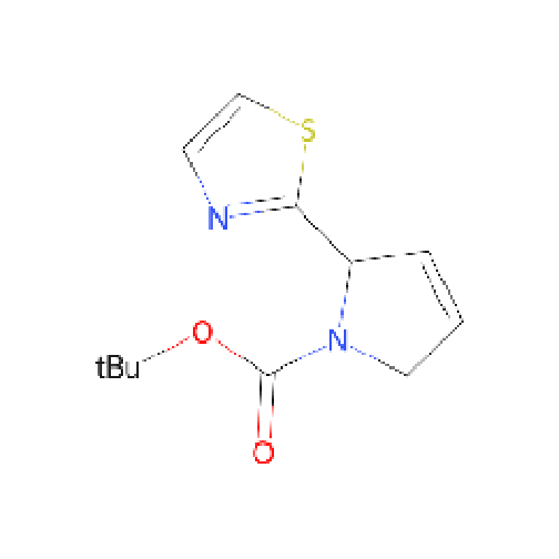 CC(C)(C)OC(=O)N1CC=CC1c1nccs1